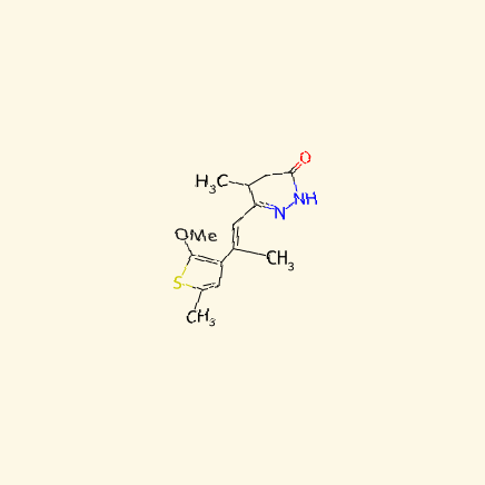 COc1sc(C)cc1C(C)=CC1=NNC(=O)CC1C